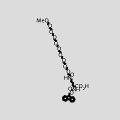 COCCOCCOCCOCCOCCOCCOCCOCCOCCOCC(=O)NCCCC[C@H](NC(=O)OCC1c2ccccc2-c2ccccc21)C(=O)O